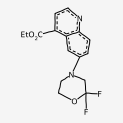 CCOC(=O)c1ccnc2ccc(N3CCOC(F)(F)C3)cc12